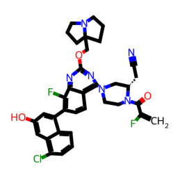 C=C(F)C(=O)N1CCN(c2nc(OCC34CCCN3CCC4)nc3c(F)c(-c4cc(O)cc5c(Cl)cccc45)ccc23)C[C@@H]1CC#N